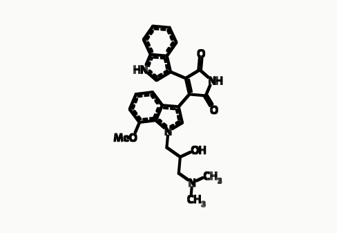 COc1cccc2c(C3=C(c4c[nH]c5ccccc45)C(=O)NC3=O)cn(CC(O)CN(C)C)c12